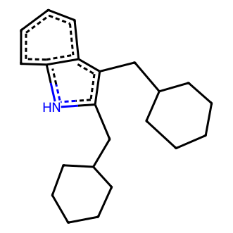 c1ccc2c(CC3CCCCC3)c(CC3CCCCC3)[nH]c2c1